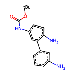 CC(C)(C)OC(=O)Nc1ccc(N)c(-c2cccc(N)c2)c1